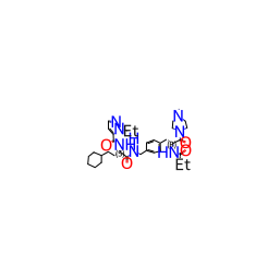 CCC(=O)N[C@H](Cc1ccc(CNC(=O)[C@H](CCC2CCCCC2)NC(=O)c2ccnn2CC)cc1)C(=O)N1CCN(C)CC1